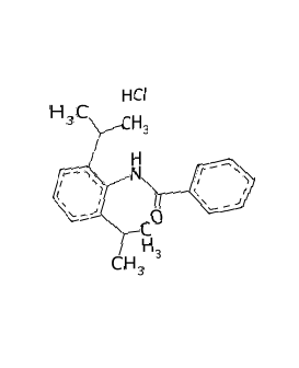 CC(C)c1cccc(C(C)C)c1NC(=O)c1ccccc1.Cl